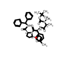 Cc1ccc([C@H]2CC[C@@H](C(=O)NC(c3ccccc3)c3ccccc3)N2C(=O)[C@@H](NC(=O)[C@H](C)N(C)C(=O)OC(C)(C)C)C2CCCCC2)o1